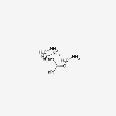 CCCCCC(=O)CCC.CN.CN.CN